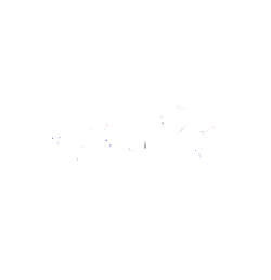 O=C(c1cccc(-c2ccc(N3CC4(CN5CCC4CC5)OC3=O)s2)c1)N1CCCC1